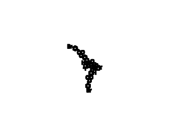 CC(C)(C)OC(=O)N[C@@H](Cc1ccc(OC(=O)OCc2ccc(Br)cc2)cc1)C(=O)OC(=O)[C@H](Cc1ccc(OC(=O)OCc2ccc(Br)cc2)cc1)NC(=O)OC(C)(C)C